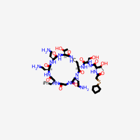 CC(C)C[C@@H]1NC(=O)CNC(=O)[C@H](CCN)NC(=O)[C@@H](NC(=O)[C@@H](CO)NC(=O)[C@@H](NC(=O)CSC2CCCCC2)[C@@H](C)O)CCNC(=O)[C@H](C(C)O)NC(=O)[C@H](CCN)NC(=O)[C@H](CCN)NC1=O